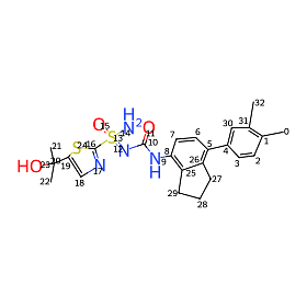 Cc1ccc(-c2ccc(NC(=O)N=S(N)(=O)c3ncc(C(C)(C)O)s3)c3c2CCC3)cc1C